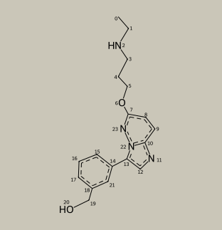 CCNCCCOc1ccc2ncc(-c3cccc(CO)c3)n2n1